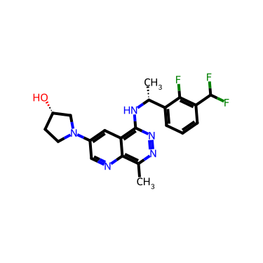 Cc1nnc(N[C@H](C)c2cccc(C(F)F)c2F)c2cc(N3CC[C@H](O)C3)cnc12